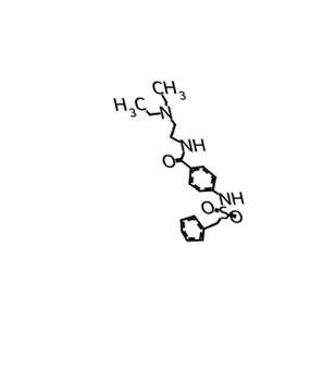 CCN(CC)CCNC(=O)c1ccc(NS(=O)(=O)Cc2ccccc2)cc1